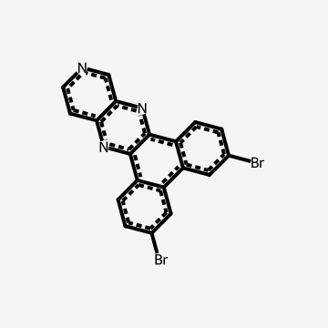 Brc1ccc2c(c1)c1cc(Br)ccc1c1nc3cnccc3nc21